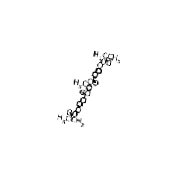 C=C(C)C(=O)OCOc1ccc2cc(C(=O)Oc3ccc(OC(=O)c4ccc5cc(OCOC(=O)C(=C)C)ccc5c4)c(C)c3)ccc2c1